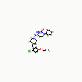 CCOc1ccc(Br)c(CC2CCN(CC3CCN(C4CCCCC4)C(=O)N3)CC2)c1